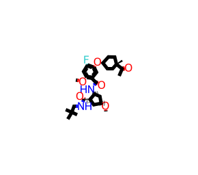 COc1cc(F)c(O[C@H]2CC[C@@](C)(C(C)=O)CC2)cc1C(=O)N[C@@H]1C[C@@H](OC)C[C@@H]1C(=O)NCC(C)(C)C